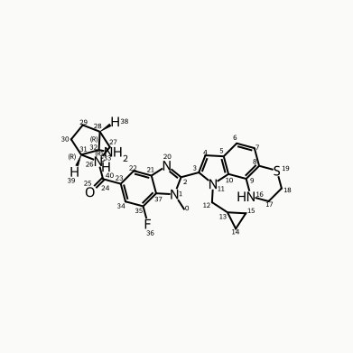 Cn1c(-c2cc3ccc4c(c3n2CC2CC2)NCCS4)nc2cc(C(=O)N3C[C@H]4CC[C@@H]3[C@@H]4N)cc(F)c21